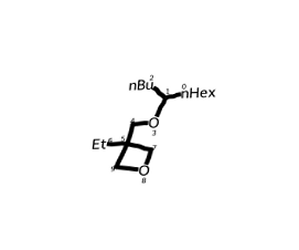 CCCCCCC(CCCC)OCC1(CC)COC1